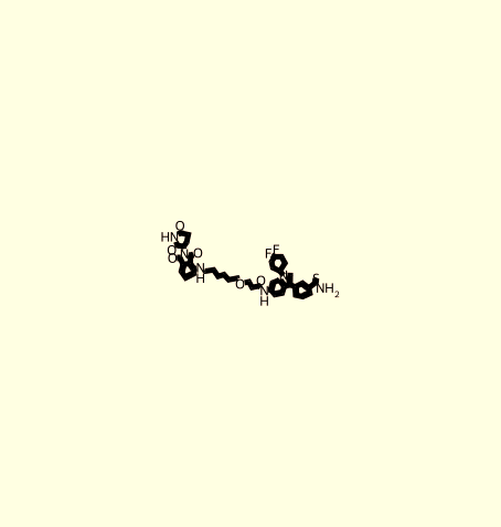 NC(=S)c1cccc(-c2cn(C3CCC(F)(F)CC3)c3cc(NC(=O)CCOCCCCCCNc4cccc5c4C(=O)N(C4CCC(=O)NC4=O)C5=O)ccc23)c1